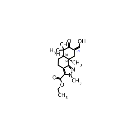 CCOC(=O)c1c2c(nn1C)[C@@]1(C)C/C(=C/O)C(=O)C(C)(C)[C@@H]1CC2